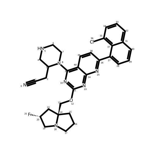 N#CCC1CNCCN1c1nc(OC[C@@]23CCCN2C[C@H](F)C3)nc2nc(-c3cccc4cccc(Cl)c34)ccc12